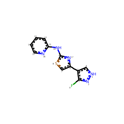 Fc1n[nH]cc1-c1csc(Nc2ccccn2)n1